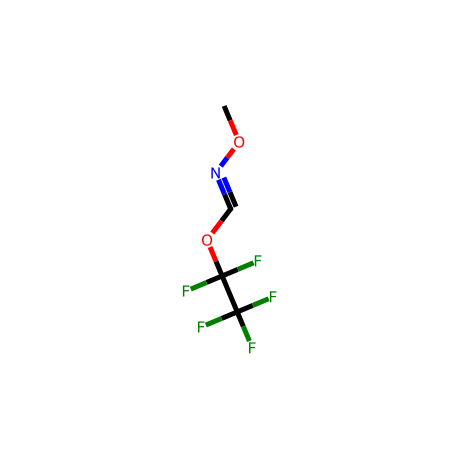 CON=COC(F)(F)C(F)(F)F